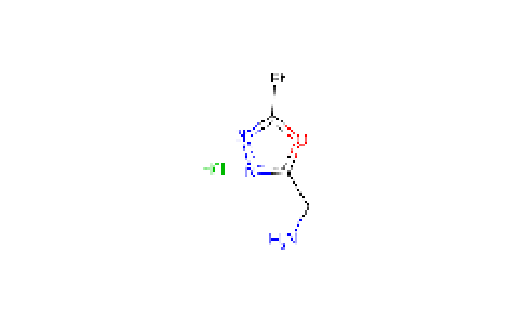 CCc1nnc(CN)o1.Cl